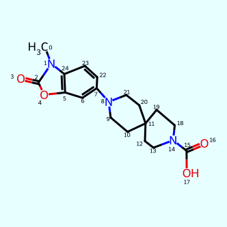 Cn1c(=O)oc2cc(N3CCC4(CCN(C(=O)O)CC4)CC3)ccc21